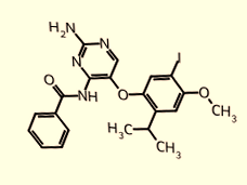 COc1cc(C(C)C)c(Oc2cnc(N)nc2NC(=O)c2ccccc2)cc1I